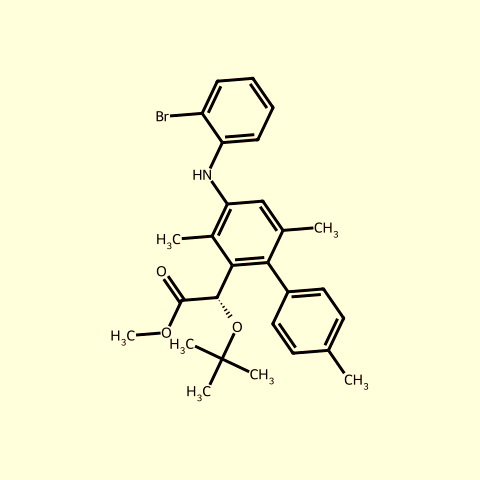 COC(=O)[C@@H](OC(C)(C)C)c1c(C)c(Nc2ccccc2Br)cc(C)c1-c1ccc(C)cc1